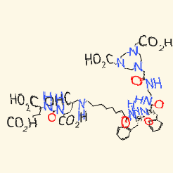 O=CC(CNCCCCCCCC(=O)N[C@@H](Cc1ccccc1)C(=O)N[C@@H](Cc1ccccc1)C(=O)NCCNC(=O)CN1CCN(CC(=O)O)CCN(CC(=O)O)CC1)CC(NC(=O)NC(CCC(=O)O)C(=O)O)C(=O)O